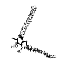 Cc1ncc(CO)c(CO)c1O.Cl.Cl.Cl.Cl.Cl.Cl.Cl.Cl.Cl.Cl.Cl.Cl.Cl.Cl.Cl.Cl.Cl.Cl.Cl.Cl.Cl.Cl.Cl.Cl.Cl